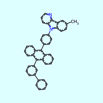 Cc1ccc2c(c1)c1ncccc1n2-c1ccc(-c2c3ccccc3c(-c3cccc(-c4ccccc4)c3)c3ccccc23)cc1